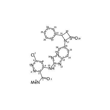 CNC(=O)c1nnc(Cl)cc1Nc1nc2ccc(N3C(=O)CC3c3ccccc3)cn2n1